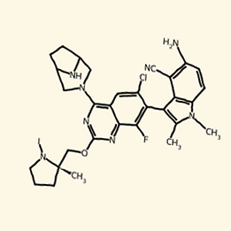 Cc1c(-c2c(Cl)cc3c(N4CC5CCC(C4)N5)nc(OC[C@]4(C)CCCN4I)nc3c2F)c2c(C#N)c(N)ccc2n1C